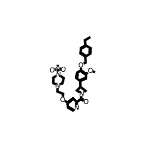 CCc1ccc(COc2ccc(C3CN(C(=O)c4cc(OCCN5CCN(S(C)(=O)=O)CC5)ccn4)C3)cc2OC)cc1